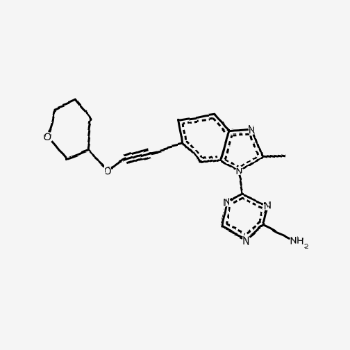 Cc1nc2ccc(C#COC3CCCOC3)cc2n1-c1ncnc(N)n1